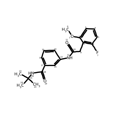 COc1cccc(F)c1CC(=O)Nc1cccc(C(=O)NC(C)(C)C)c1